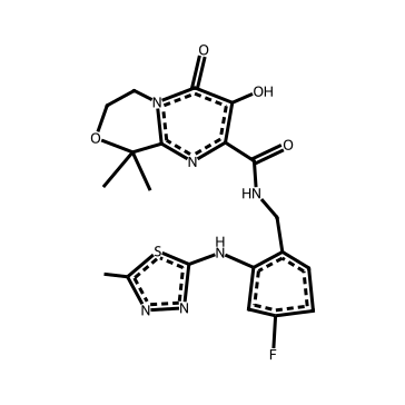 Cc1nnc(Nc2cc(F)ccc2CNC(=O)c2nc3n(c(=O)c2O)CCOC3(C)C)s1